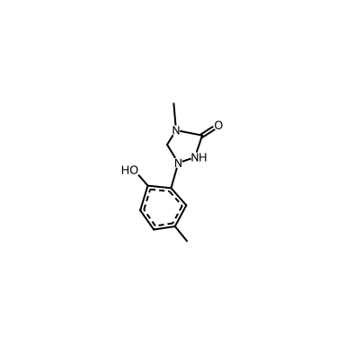 Cc1ccc(O)c(N2CN(C)C(=O)N2)c1